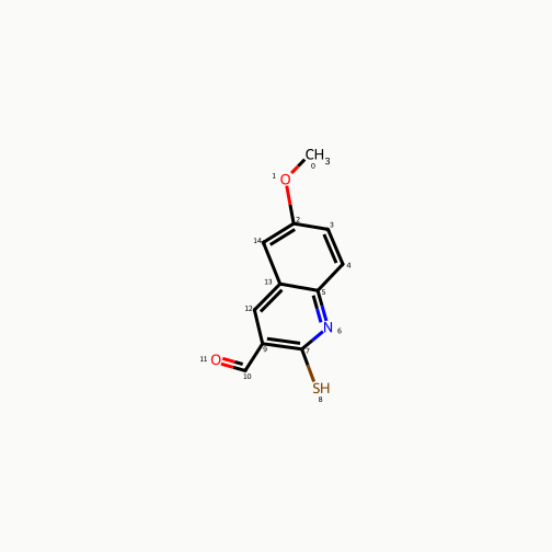 COc1ccc2nc(S)c(C=O)cc2c1